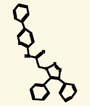 O=C(Cn1nnc(-c2ccccc2)c1-c1ccccc1)Nc1ccc(-c2ccccc2)cn1